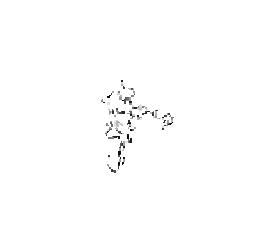 Cc1cc2c(cnn2C2CCCCO2)c(NC(=O)c2nc(OC[C@@H]3CCCN3C)nc(N3CCN(C)[C@@H](CC#N)C3)c2N)c1C